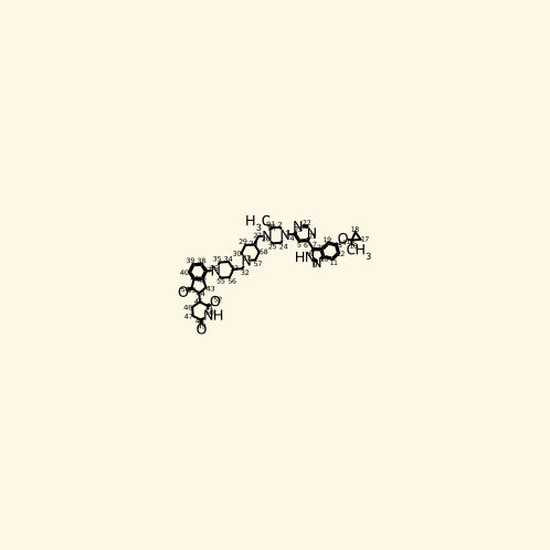 C[C@H]1CN(c2cc(-c3[nH]nc4ccc(OC5(C)CC5)cc34)ncn2)CCN1CC1CCN(CC2CCN(c3cccc4c3CC(C3CCC(=O)NC3=O)C4=O)CC2)CC1